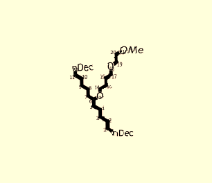 CCCCCCCCCCCCCCCC(CCCCCCCCCCCCCCC)OCCCCOCCOC